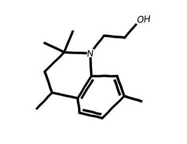 Cc1ccc2c(c1)N(CCO)C(C)(C)CC2C